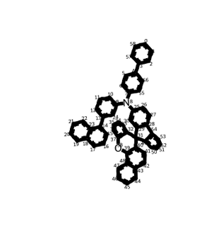 c1ccc(-c2ccc(N(c3cccc(-c4cccc5ccccc45)c3)c3ccc4c(c3)C3(c5ccccc5Oc5c3ccc3ccccc53)c3ccccc3-4)cc2)cc1